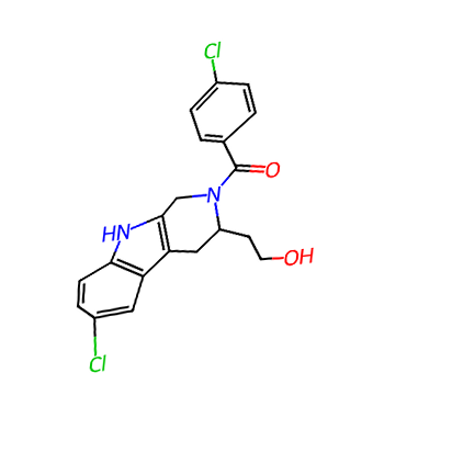 O=C(c1ccc(Cl)cc1)N1Cc2[nH]c3ccc(Cl)cc3c2CC1CCO